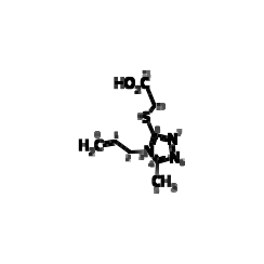 C=CCn1c(C)nnc1SCC(=O)O